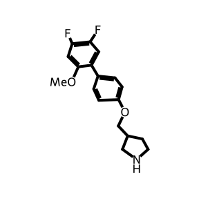 COc1cc(F)c(F)cc1-c1ccc(OCC2CCNC2)cc1